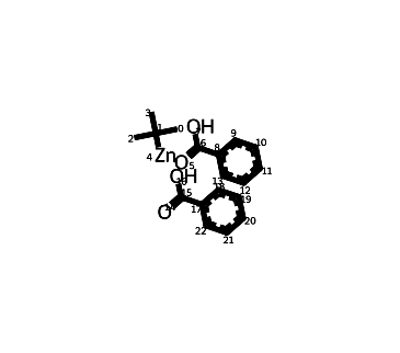 C[C](C)(C)[Zn].O=C(O)c1ccccc1.O=C(O)c1ccccc1